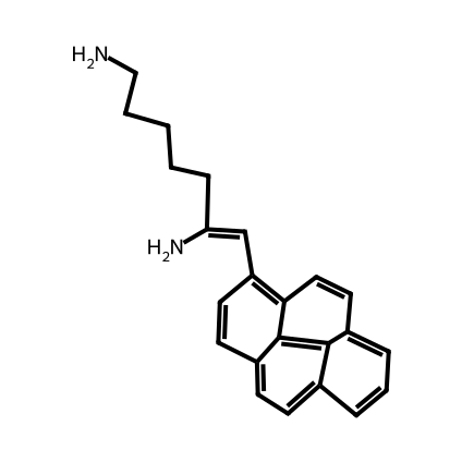 NCCCCC/C(N)=C/c1ccc2ccc3cccc4ccc1c2c34